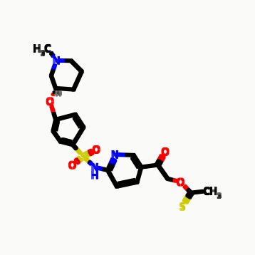 CC(=S)OCC(=O)c1ccc(NS(=O)(=O)c2ccc(O[C@H]3CCCN(C)C3)cc2)nc1